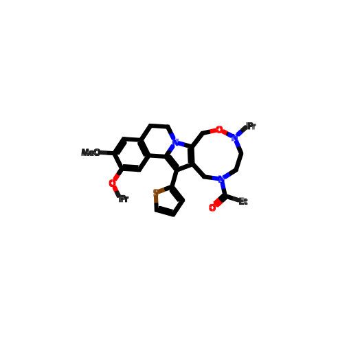 CCC(=O)N1CCN(C(C)C)OCc2c(c(-c3cccs3)c3n2CCc2cc(OC)c(OC(C)C)cc2-3)C1